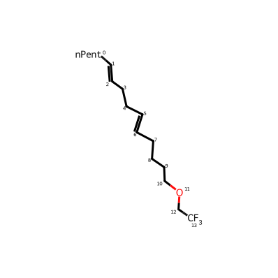 CCCCCC=CCCC=CCCCCOCC(F)(F)F